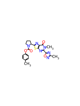 Cc1ccc(OC(=O)N2CCCC2c2nc3c(=O)n(C)c(-c4nc(C)no4)nc3s2)cc1